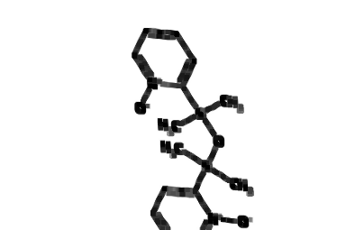 C[Si](C)(O[Si](C)(C)c1cccc[n+]1[O-])c1cccc[n+]1[O-]